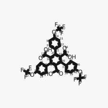 O=C(O)c1c(-c2ccc(OC(F)(F)F)cc2)c(C(=O)O)c(-c2ccc(OC(F)(F)F)cc2)c(C(=O)O)c1-c1ccc(OC(F)(F)F)cc1